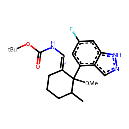 COC1(c2cc(F)cc3[nH]ncc23)/C(=C/NC(=O)OC(C)(C)C)CCCC1C